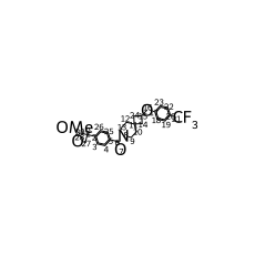 COC1(c2ccc(C(=O)N3CCC4(CC3)CC(Oc3ccc(C(F)(F)F)cc3)C4)cc2)COC1